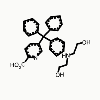 O=C(O)c1ccc(C(c2ccccc2)(c2ccccc2)c2ccccc2)cn1.OCCNCCO